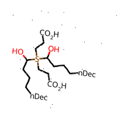 CCCCCCCCCCCCCC(O)S(CCC(=O)O)(CCC(=O)O)C(O)CCCCCCCCCCCCC